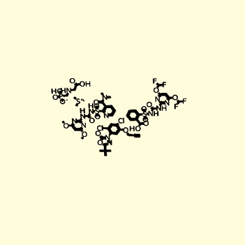 C#CCOc1cc(-n2nc(C(C)(C)C)oc2=O)c(Cl)cc1Cl.COc1cc(OC)nc(NC(=O)NS(=O)(=O)c2ncccc2C(=O)N(C)C)n1.C[S+](C)C.O=C(Nc1nc(OC(F)F)cc(OC(F)F)n1)NS(=O)(=O)c1ccccc1C(=O)O.O=C(O)CNCP(=O)([O-])O